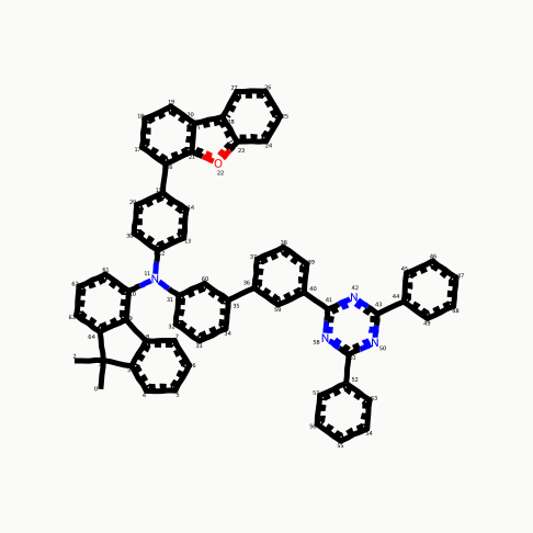 CC1(C)c2ccccc2-c2c(N(c3ccc(-c4cccc5c4oc4ccccc45)cc3)c3cccc(-c4cccc(-c5nc(-c6ccccc6)nc(-c6ccccc6)n5)c4)c3)cccc21